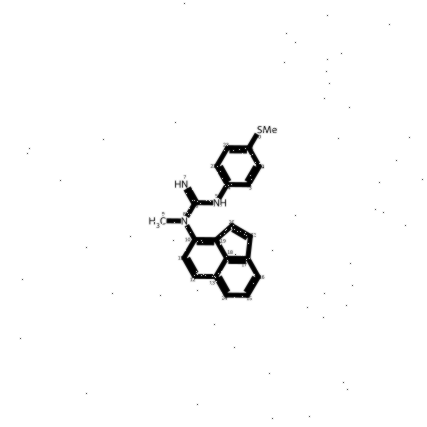 CSc1ccc(NC(=N)N(C)c2ccc3cccc4c3c2C=C4)cc1